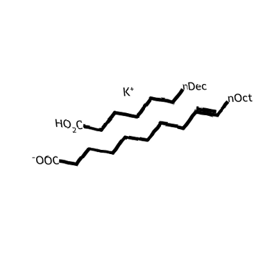 CCCCCCCCC=CCCCCCCCC(=O)[O-].CCCCCCCCCCCCCCCC(=O)O.[K+]